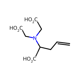 C=CCC(C(=O)O)N(CC(=O)O)CC(=O)O